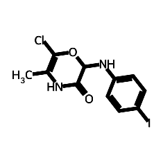 CC1=C(Cl)OC(Nc2ccc(I)cc2)C(=O)N1